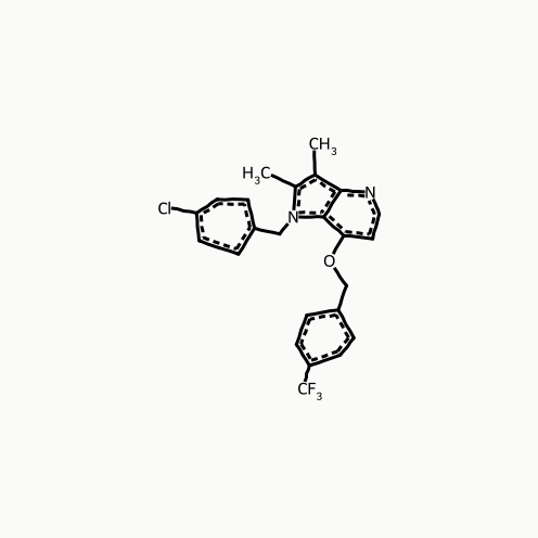 Cc1c(C)n(Cc2ccc(Cl)cc2)c2c(OCc3ccc(C(F)(F)F)cc3)ccnc12